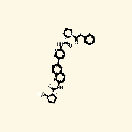 BN1CCC[C@H]1C(=O)Nc1ccc2cc(-c3ccc(NC(=O)[C@@H]4CCCN4C(=O)Cc4ccccc4)nc3)ccc2n1